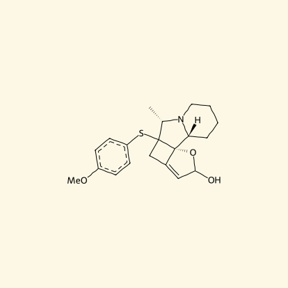 COc1ccc(SC23CC4=CC(O)O[C@]42[C@H]2CCCCN2[C@H]3C)cc1